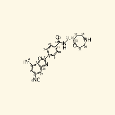 [C-]#[N+]c1cc(C(C)C)c2oc(-c3ccc(C(=O)NC[C@@H]4CCNCCO4)cc3)nc2c1